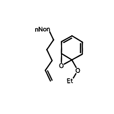 C=CCCCCCCCCCCCC.CCOC12C=CC=CC1O2